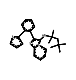 CC(C)(C)CC(C)(C)Nc1c(-c2ccccc2-c2cccs2)nc2ccccn12